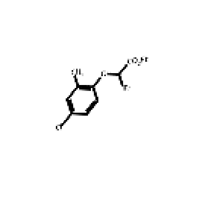 CCOC(=O)C(Oc1ccc(Cl)cc1C)C(C)C